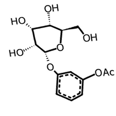 CC(=O)Oc1cccc(O[C@H]2O[C@H](CO)[C@@H](O)[C@@H](O)[C@H]2O)c1